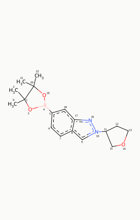 CC1(C)OB(c2ccc3cn(C4CCOC4)nc3c2)OC1(C)C